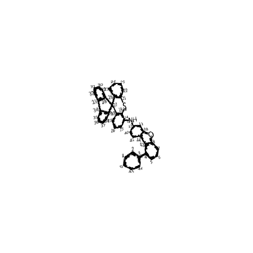 c1ccc(-c2cccc3oc4cc(Nc5cccc6c5Sc5ccccc5C65c6ccccc6-c6ccccc65)ccc4c23)cc1